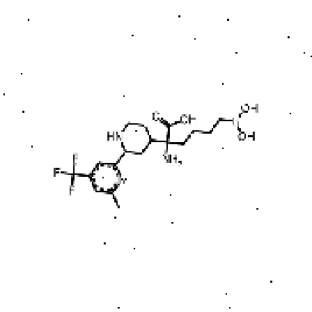 Cc1cc(C(F)(F)F)cc(C2CC(C(N)(CCCCB(O)O)C(=O)O)CCN2)n1